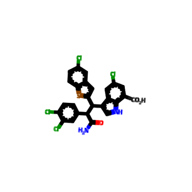 NC(=O)C(c1ccc(Cl)c(Cl)c1)C(c1cc2cc(Cl)ccc2s1)c1c[nH]c2c(C(=O)O)cc(Cl)cc12